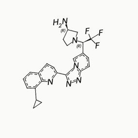 N[C@@H]1CCN([C@H](c2ccc3nnc(-c4ccc5cccc(C6CC6)c5n4)n3c2)C(F)(F)F)C1